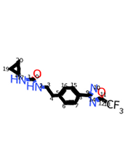 O=C(NCCc1ccc(-c2noc(C(F)(F)F)n2)cc1)NC1CC1